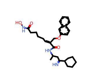 CC(CC(=N)C1CCCCC1)NC(=O)/C(=C/CCCCC(=O)NO)COc1ccc2ccccc2c1